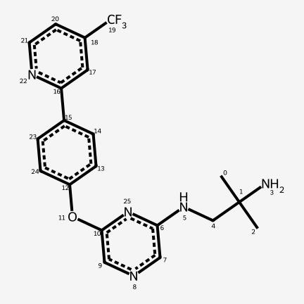 CC(C)(N)CNc1cncc(Oc2ccc(-c3cc(C(F)(F)F)ccn3)cc2)n1